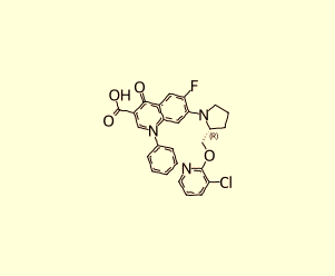 O=C(O)c1cn(-c2ccccc2)c2cc(N3CCC[C@@H]3COc3ncccc3Cl)c(F)cc2c1=O